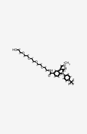 Cn1cc2c3cc(C(=O)NCCOCCOCCOCCOCCO)ccc3n(-c3ccc(C(F)(F)F)cc3)c2n1